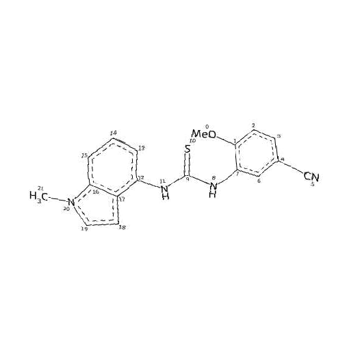 COc1ccc(C#N)cc1NC(=S)Nc1cccc2c1ccn2C